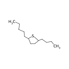 CCCCCC1CCC(CCCC)S1